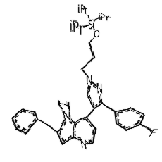 CC(C)[Si](OCCCn1cc(-c2ccnc3cc(-c4ccccc4)[nH]c23)c(-c2ccc(F)cc2)n1)(C(C)C)C(C)C